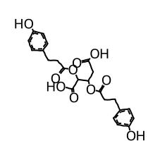 O=C(O)CC(OC(=O)CCc1ccc(O)cc1)C(OC(=O)CCc1ccc(O)cc1)C(=O)O